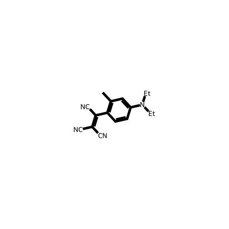 CCN(CC)c1ccc(C(C#N)=C(C#N)C#N)c(C)c1